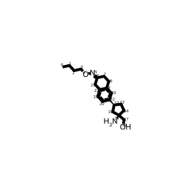 CCCCO/N=C1/CCc2cc([C@H]3CC[C@](N)(CO)C3)ccc2C1